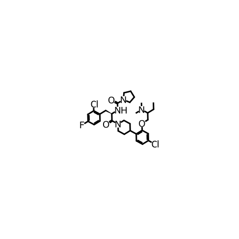 CCC(COc1cc(Cl)ccc1C1CCN(C(=O)[C@@H](Cc2ccc(F)cc2Cl)NC(=O)N2CCCC2)CC1)N(C)C